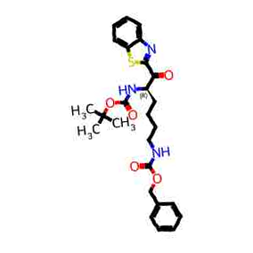 CC(C)(C)OC(=O)N[C@H](CCCCNC(=O)OCc1ccccc1)C(=O)c1nc2ccccc2s1